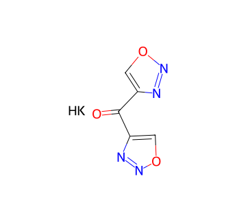 O=C(c1conn1)c1conn1.[KH]